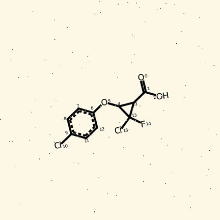 O=C(O)C1C(Oc2ccc(Cl)cc2)C1(F)Cl